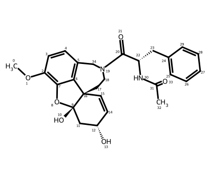 COc1ccc2c3c1O[C@@]1(O)C[C@@H](O)C=C[C@@]31CCN(C(=O)[C@H](Cc1ccccc1)NC(C)=O)C2